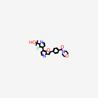 CC(C)(O)c1nccc(-c2ccnc3cc(-c4ccc(C(=O)N5CCOCC5)cc4)oc23)c1F